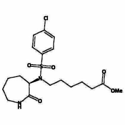 COC(=O)CCCCCN([C@@H]1CCCCNC1=O)S(=O)(=O)c1ccc(Cl)cc1